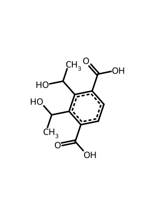 CC(O)c1c(C(=O)O)ccc(C(=O)O)c1C(C)O